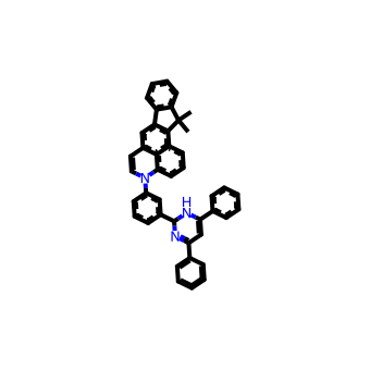 CC1(C)c2ccccc2-c2cc3c4c(cccc4c21)N(c1cccc(C2N=C(C4=CC=C=C=C4)C=C(c4ccccc4)N2)c1)C=C3